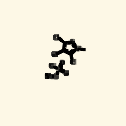 COS(=O)(=O)[O-].C[n+]1sc(Cl)c(Cl)c1Cl